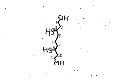 OCCC(S)CCCC(S)CCO